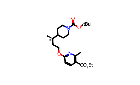 CCOC(=O)c1ccc(OCC[C@@H](C)C2CCN(C(=O)OC(C)(C)C)CC2)nc1C